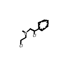 CN(CCCl)CC(Cl)c1ccccc1